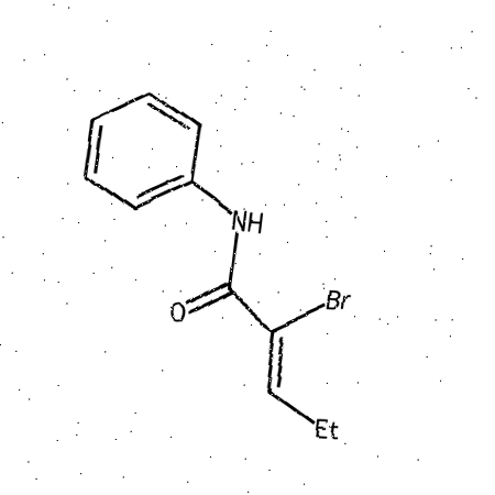 CCC=C(Br)C(=O)Nc1ccccc1